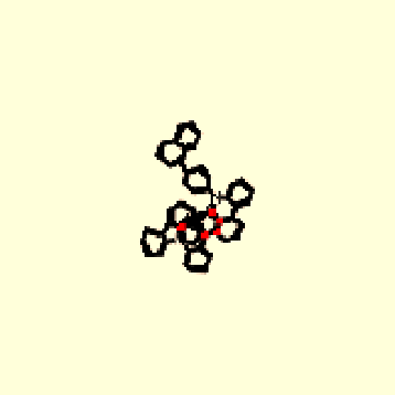 C1=CC(c2ccccc2N(c2ccc(-c3ccccc3-n3c4ccccc4c4ccccc43)cc2)c2ccc(-c3cccc4ccccc34)cc2)=C2Oc3ccccc3C2C1